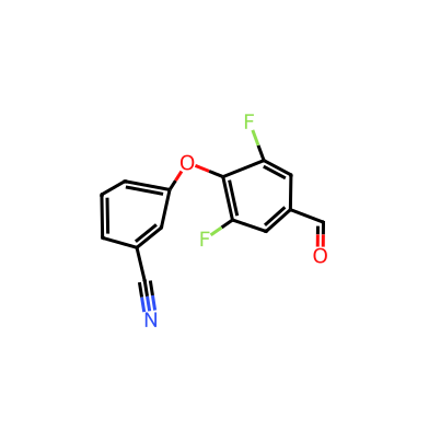 N#Cc1cccc(Oc2c(F)cc(C=O)cc2F)c1